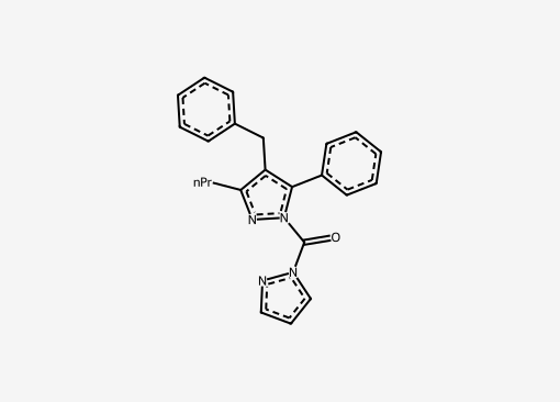 CCCc1nn(C(=O)n2cccn2)c(-c2ccccc2)c1Cc1ccccc1